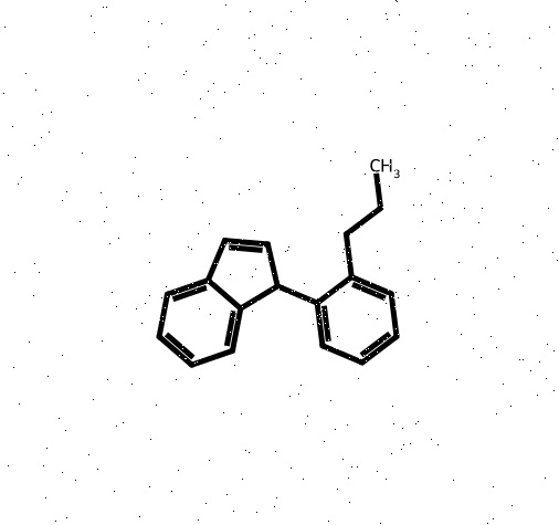 CCCc1ccccc1[C]1C=Cc2ccccc21